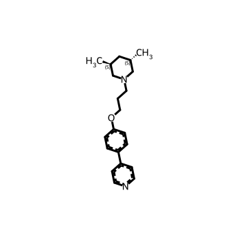 C[C@H]1C[C@H](C)CN(CCCOc2ccc(-c3ccncc3)cc2)C1